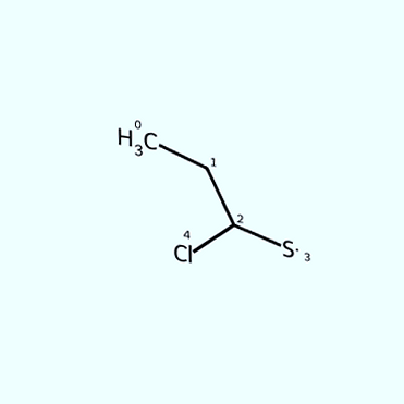 CCC([S])Cl